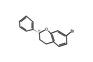 Brc1ccc2c(c1)O[C@@H](c1ccccc1)CC2